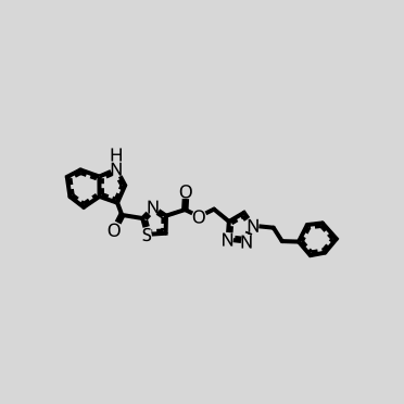 O=C(OCc1cn(CCc2ccccc2)nn1)c1csc(C(=O)c2c[nH]c3ccccc23)n1